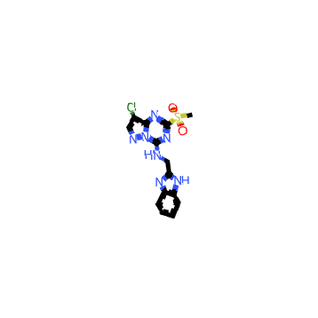 CS(=O)(=O)c1nc(NCc2nc3ccccc3[nH]2)n2ncc(Cl)c2n1